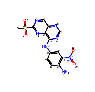 CS(=O)(=O)c1ncc2ncnc(Nc3ccc(N)c([N+](=O)[O-])c3)c2n1